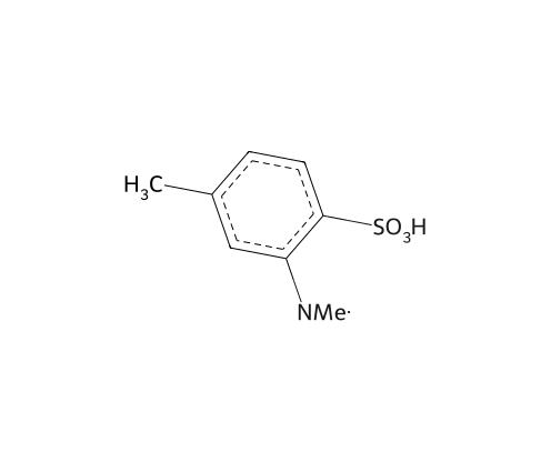 C[N]c1cc(C)ccc1S(=O)(=O)O